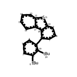 CC(C)(C)c1cccc(-c2cccc3sc4ccccc4c23)c1C(C)(C)C